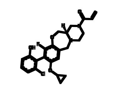 C=CC(=O)N1CCN2Cc3cc(OC4CC4)c(-c4c(O)cccc4Cl)c(F)c3OC[C@H]2C1